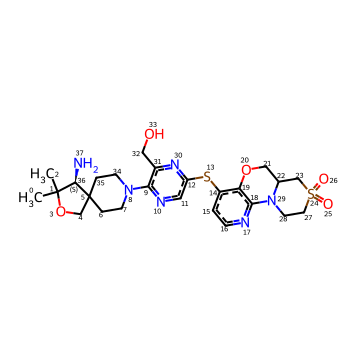 CC1(C)OCC2(CCN(c3ncc(Sc4ccnc5c4OCC4CS(=O)(=O)CCN54)nc3CO)CC2)[C@@H]1N